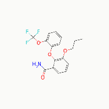 CCCOc1cccc(C(N)=O)c1Oc1ccccc1OC(F)(F)F